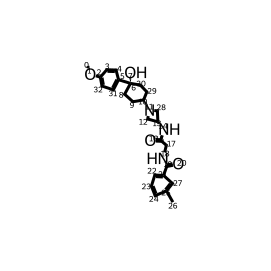 COc1ccc([C@]2(O)CC[C@H](N3CC(NC(=O)CNC(=O)c4cccc(C)c4)C3)CC2)cc1